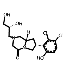 O=C1CN(C[C@@H](O)CO)C[C@@H]2C[C@H](c3c(O)ccc(Cl)c3Cl)CN12